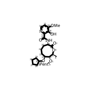 CCCCCO[C@H]1[C@H](C)OC(=O)[C@@H](NC(=O)c2nccc(OC)c2O)CCC[C@@H]1OC1CCCC1